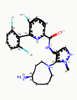 Cn1ncc(NC(=O)c2ccc(F)c(-c3c(F)cccc3F)n2)c1N1CCC[C@@H](N)CC1